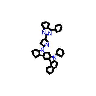 c1ccc(-c2nc(-c3ccc(-n4c5ccccc5c5cc6c7c8ccccc8ccc7n(-c7ccccc7)c6cc54)nc3)nc3ccccc23)cc1